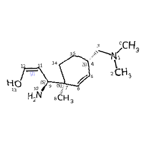 CN(C)C[C@@H]1C=C[C@@](C)([C@@H](N)/C=C\O)CC1